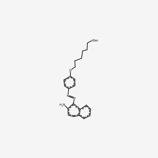 CCCCCCCCCCCCCCCCOc1ccc(N=Nc2c(N)ccc3ccccc23)cc1